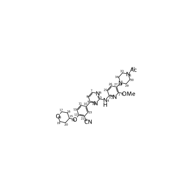 COc1nc(Nc2nccc(-c3ccc(OC4CCOCC4)c(C#N)c3)n2)ccc1N1CCN(C(C)=O)CC1